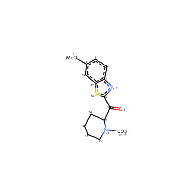 COc1ccc2nc(C(=O)C3CCCCN3C(=O)O)sc2c1